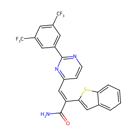 NC(=O)/C(=C/c1ccnc(-c2cc(C(F)(F)F)cc(C(F)(F)F)c2)n1)c1cc2ccccc2s1